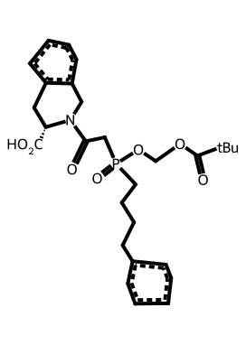 CC(C)(C)C(=O)OCOP(=O)(CCCCc1ccccc1)CC(=O)N1Cc2ccccc2C[C@H]1C(=O)O